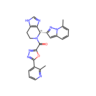 Cc1ncccc1-c1nnc(C(=O)N2CCc3[nH]cnc3[C@@H]2c2cc3cccc(C)n3n2)o1